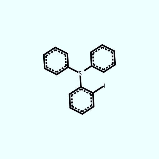 Ic1ccccc1[S+](c1ccccc1)c1ccccc1